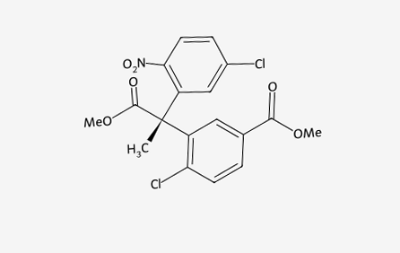 COC(=O)c1ccc(Cl)c([C@](C)(C(=O)OC)c2cc(Cl)ccc2[N+](=O)[O-])c1